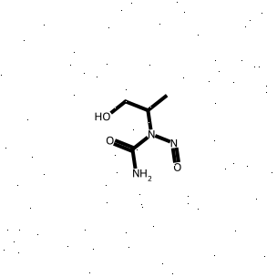 CC(CO)N(N=O)C(N)=O